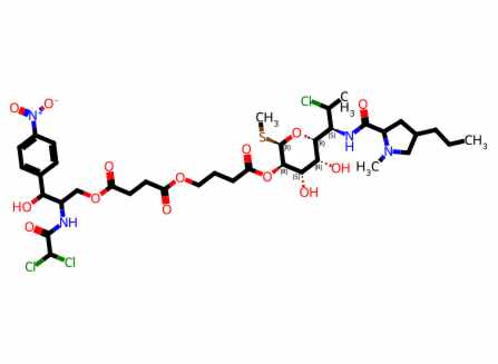 CCCC1CC(C(=O)N[C@H](C(C)Cl)[C@H]2O[C@H](SC)[C@H](OC(=O)CCCOC(=O)CCC(=O)OCC(NC(=O)C(Cl)Cl)C(O)c3ccc([N+](=O)[O-])cc3)[C@@H](O)[C@H]2O)N(C)C1